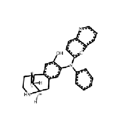 Oc1cc2c(cc1N(c1ccccc1)c1ccc3ncccc3c1)C[C@H]1NCC[C@@]23CCCC[C@@H]13